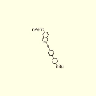 CCCCCc1ccc2cc(C#Cc3ccc(C4CCC(CCCC)CC4)cc3)ccc2c1